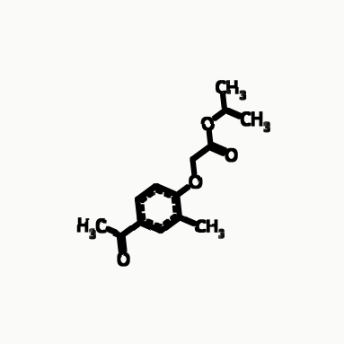 CC(=O)c1ccc(OCC(=O)OC(C)C)c(C)c1